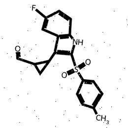 Cc1ccc(S(=O)(=O)c2[nH]c3ccc(F)cc3c2C2CC2C=O)cc1